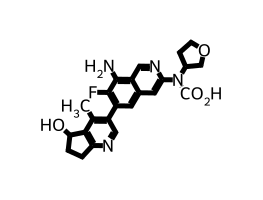 Cc1c(-c2cc3cc(N(C(=O)O)C4CCOC4)ncc3c(N)c2F)cnc2c1C(O)CC2